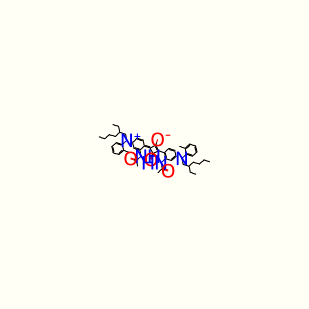 CCCCC(CC)CN(c1ccc(C2=C([O-])/C(=C3C=C/C(=[N+](\CC(CC)CCCC)c4ccccc4C)C=C\3NC(C)=O)C2=O)c(NC(C)=O)c1)c1ccccc1C